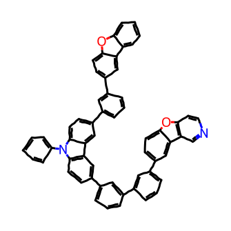 c1ccc(-n2c3ccc(-c4cccc(-c5cccc(-c6ccc7oc8ccncc8c7c6)c5)c4)cc3c3cc(-c4cccc(-c5ccc6oc7ccccc7c6c5)c4)ccc32)cc1